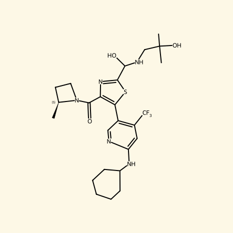 C[C@H]1CCN1C(=O)c1nc(C(O)NCC(C)(C)O)sc1-c1cnc(NC2CCCCC2)cc1C(F)(F)F